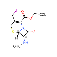 O=CN[C@@H]1C(=O)N2C(C(=O)OCC(Cl)(Cl)Cl)=C(CI)CS[C@@H]12